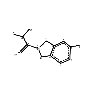 Cc1ccc2c(c1)CN(C(=O)C(C)C)C2